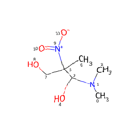 CN(C)C(O)C(C)(CO)[N+](=O)[O-]